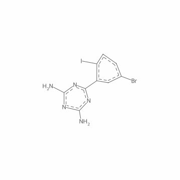 Nc1nc(N)nc(-c2cc(Br)ccc2I)n1